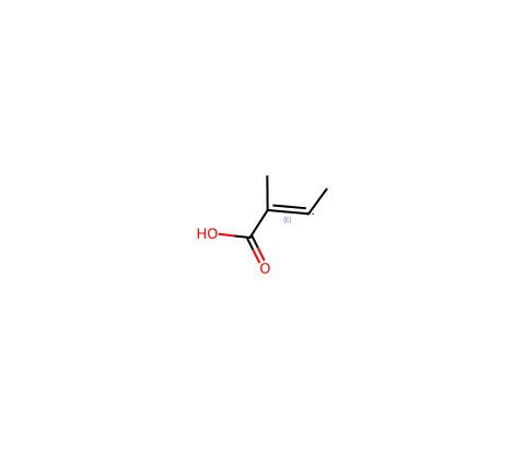 C/[C]=C(\C)C(=O)O